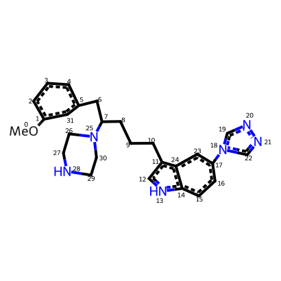 COc1cccc(CC(CCCc2c[nH]c3ccc(-n4cnnc4)cc23)N2CCNCC2)c1